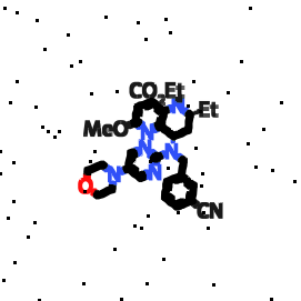 CCOC(=O)N1c2ccc(OC)nc2[C@@H](N(Cc2cccc(C#N)c2)c2ncc(N3CCOCC3)cn2)C[C@H]1CC